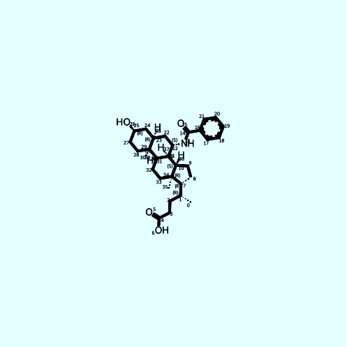 C[C@H](CCC(=O)O)[C@H]1CC[C@H]2[C@@H]3[C@@H](NC(=O)c4ccccc4)C[C@@H]4C[C@H](O)CC[C@]4(C)[C@H]3CC[C@]12C